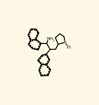 CCN1CCCC1CC(c1ccc2ccccc2c1)C(N)c1cccc2ccccc12